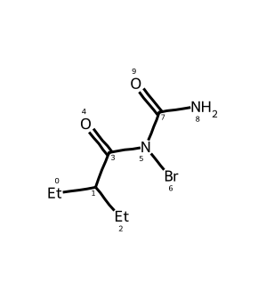 CCC(CC)C(=O)N(Br)C(N)=O